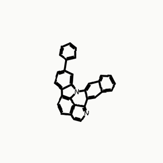 c1ccc(-c2ccc3c4ccc5ccnc6c7cc8ccccc8cc7n(c3c2)c4c56)cc1